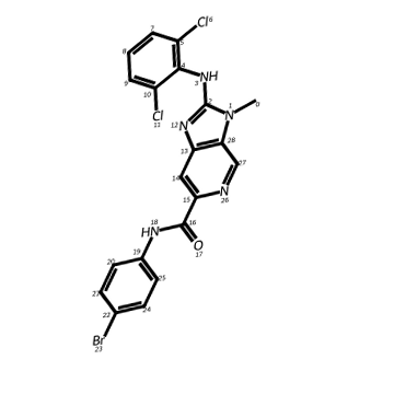 Cn1c(Nc2c(Cl)cccc2Cl)nc2cc(C(=O)Nc3ccc(Br)cc3)ncc21